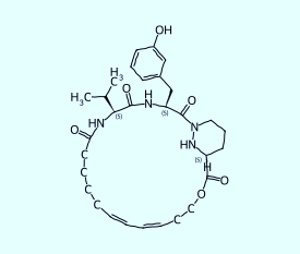 CC(C)[C@@H]1NC(=O)CCCCC=CC=CCCOC(=O)[C@@H]2CCCN(N2)C(=O)[C@H](Cc2cccc(O)c2)NC1=O